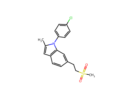 Cc1cc2ccc(CCS(C)(=O)=O)cc2n1-c1ccc(Cl)cc1